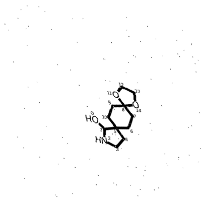 OC1NCCC12CCC1(CC2)OCCO1